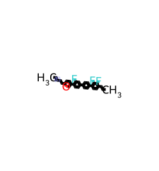 C/C=C/CCC1CCC(c2ccc(-c3ccc(-c4ccc(CCC)c(F)c4F)cc3)cc2F)CO1